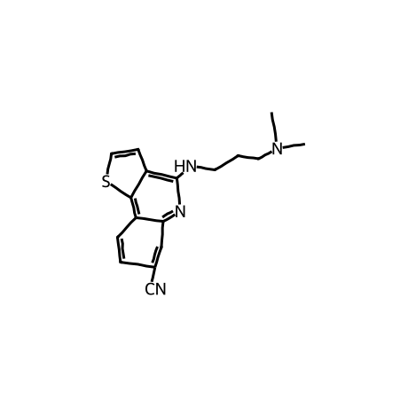 CN(C)CCCNc1nc2cc(C#N)ccc2c2sccc12